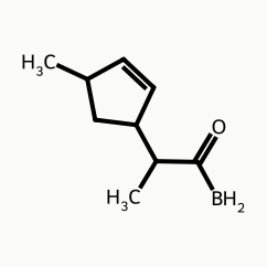 BC(=O)C(C)C1C=CC(C)C1